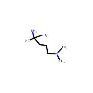 CN(C)CCCC(C)(N)C#N